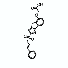 O=C(O)COc1cccc2c1Cc1sc(S(=O)(=O)C/C=C/c3ccccc3)nc1-2